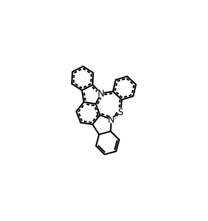 C1=CC2c3ccc4c5ccccc5n5c6ccccc6sn(c3c45)C2C=C1